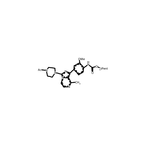 CCC[C@H](C)OC(=O)Nc1ccc(-c2nc(N3CCN(C(C)=O)CC3)n3ccnc(C)c23)cc1OC